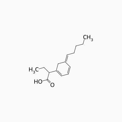 CCCCC=C1C=CC=C(C(CC)C(=O)O)C1